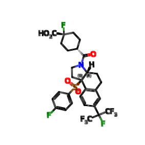 O=C([C@H]1CC[C@](F)(C(=O)O)CC1)N1CC[C@@]2(S(=O)(=O)c3ccc(F)cc3)c3ccc(C(F)(C(F)(F)F)C(F)(F)F)cc3CC[C@@H]12